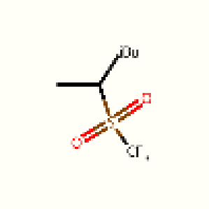 CCC(C)C(C)S(=O)(=O)C(F)(F)F